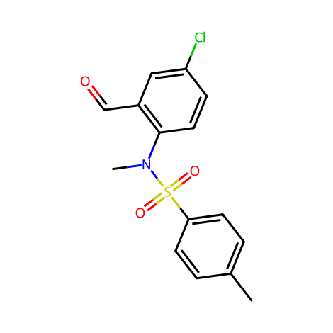 Cc1ccc(S(=O)(=O)N(C)c2ccc(Cl)cc2C=O)cc1